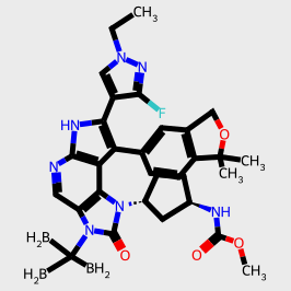 BC(B)(B)n1c(=O)n([C@@H]2CC[C@@H](NC(=O)OC)C2)c2c3c(-c4ccc5c(c4)COC5(C)C)c(-c4cn(CC)nc4F)[nH]c3ncc21